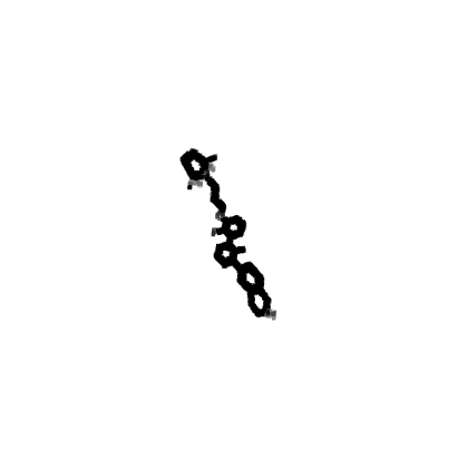 Cc1c(-c2ccc3c(c2)CCNC3)cccc1-c1cccc(OCCCN2[C@H](C)CC[C@H]2C)c1F